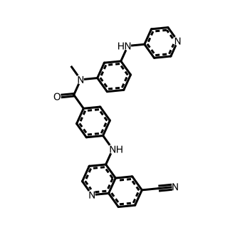 CN(C(=O)c1ccc(Nc2ccnc3ccc(C#N)cc23)cc1)c1cccc(Nc2ccncc2)c1